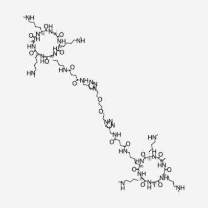 CNCCCC[C@@H]1NC(=O)[C@@H](C)NC(=O)[C@H](CCCCNC)NC(=O)[C@@H](CCCCNC(=O)CCC(=O)NCc2cn(CCOCCOCCn3cc(CNC(=O)CCC(=O)NCCCC[C@H]4NC(=O)[C@H](CCCCNC)NC(=O)[C@@H](C)NC(=O)[C@H](CCCCNC)NC(=O)[C@@H](C)NC(=O)[C@H](CCCCNC)NC4=O)nn3)nn2)NC(=O)[C@H](CCCCNC)NC(=O)[C@@H](C)NC1=O